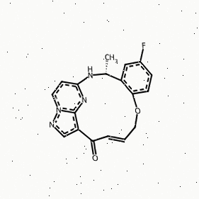 C[C@H]1Nc2ccn3ncc(c3n2)C(=O)/C=C/COc2ccc(F)cc21